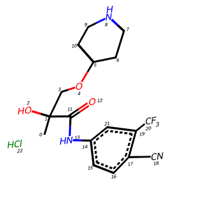 CC(O)(COC1CCNCC1)C(=O)Nc1ccc(C#N)c(C(F)(F)F)c1.Cl